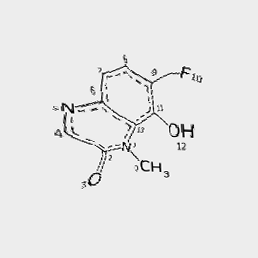 Cn1c(=O)cnc2ccc(F)c(O)c21